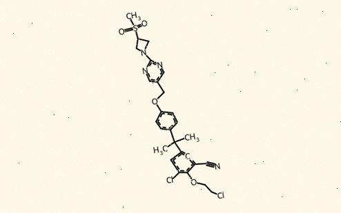 CC(C)(c1ccc(OCc2cnc(N3CC(S(C)(=O)=O)C3)nc2)cc1)c1cc(Cl)c(OCCCl)c(C#N)c1